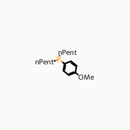 CCCCCP(CCCCC)c1ccc(OC)cc1